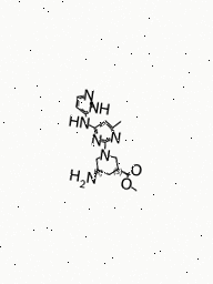 COC(=O)[C@H]1C[C@@H](N)CN(c2nc(C)cc(Nc3ccn[nH]3)n2)C1